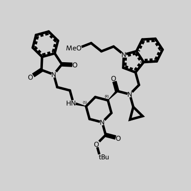 COCCCn1cc(CN(C(=O)[C@@H]2C[C@H](NCCN3C(=O)c4ccccc4C3=O)CN(C(=O)OC(C)(C)C)C2)C2CC2)c2ccccc21